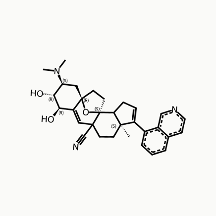 CN(C)[C@H]1C[C@@]23CC[C@]4(O2)C2CC=C(c5cccc6ccncc56)[C@@]2(C)CCC4(C#N)C=C3[C@@H](O)[C@@H]1O